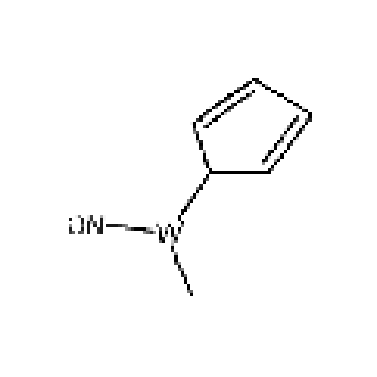 [CH3][W]([N]=O)[CH]1C=CC=C1